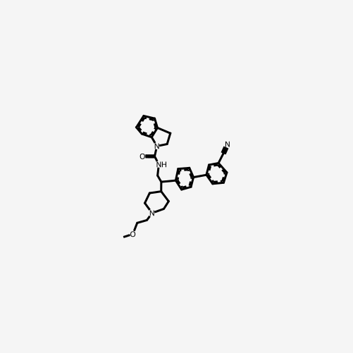 COCCN1CCC(C(CNC(=O)N2CCc3ccccc32)c2ccc(-c3cccc(C#N)c3)cc2)CC1